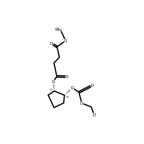 CC(C)(C)OC(=O)CCC(=O)O[C@H]1CCC[C@H]1OC(=O)OCCl